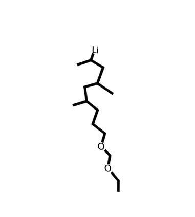 [Li][CH](C)CC(C)CC(C)CCCOCOCC